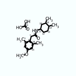 COc1cc(C)c(CC(=O)NC2CCC(C)C(C)C2)c(C)c1.O=C(O)O